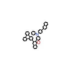 c1ccc(N(c2ccc(-c3ccc4ccccc4c3)cc2)c2ccc3oc4c5ccccc5cc(-c5ccc6c7ccccc7c7ccccc7c6c5)c4c3c2)cc1